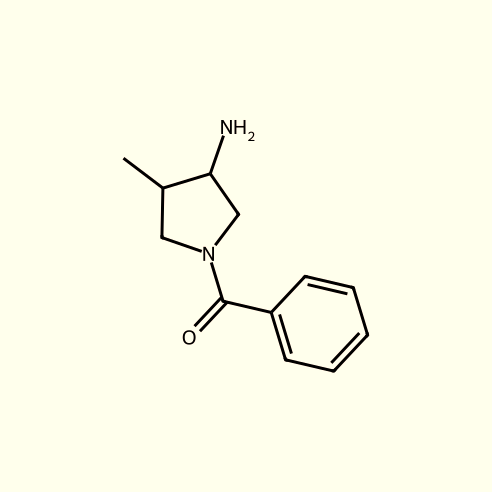 CC1CN(C(=O)c2ccccc2)CC1N